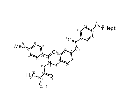 CCCCCCCOc1ccc(C(=O)Oc2ccc(CN(CC(=O)N(C)C)C(=O)c3ccc(OC)cc3)cc2)cc1